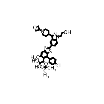 Cc1cc2nc(-c3ccc4c(c3)c(C3CCN(C5COC5)CC3)nn4CCO)sc2c(-c2ccc(Cl)cc2)c1C(OC(C)(C)C)C(=O)O